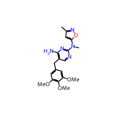 COc1cc(Cc2cnc(N(C)c3cc(C)no3)nc2N)cc(OC)c1OC